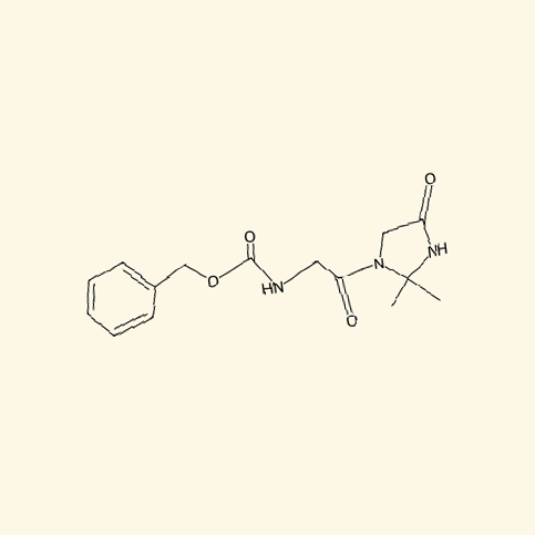 CC1(C)NC(=O)CN1C(=O)CNC(=O)OCc1ccccc1